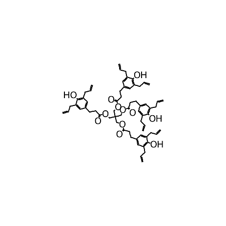 C=CCc1cc(CCC(=O)OCC(COC(=O)CCc2cc(CC=C)c(O)c(CC=C)c2)(COC(=O)CCc2cc(CC=C)c(O)c(CC=C)c2)COC(=O)CCc2cc(CC=C)c(O)c(CC=C)c2)cc(CC=C)c1O